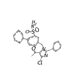 CC(=O)c1c(Cl)nc(-c2ccccc2)n1Cc1ccc(-c2ccccc2)c(S(N)(=O)=O)c1